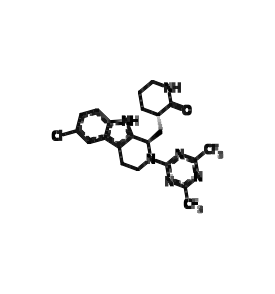 O=C1NCCC[C@H]1C[C@@H]1c2[nH]c3ccc(Cl)cc3c2CCN1c1nc(C(F)(F)F)nc(C(F)(F)F)n1